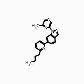 CCCCc1cccc(-c2ccc3cnn(-c4cncc(C)n4)c3c2)n1